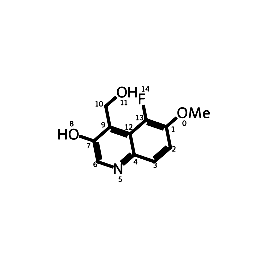 COc1ccc2ncc(O)c(CO)c2c1F